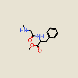 CNCC(=O)NC(Cc1ccccc1)C(=O)OC